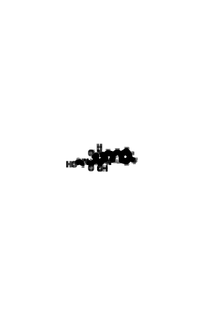 O=C(NCCO)c1c(O)c2ncc(Cc3ccc(F)cc3)cc2[nH]c1=O